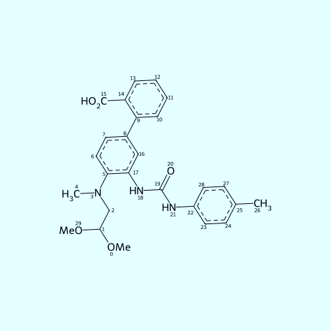 COC(CN(C)c1ccc(-c2ccccc2C(=O)O)cc1NC(=O)Nc1ccc(C)cc1)OC